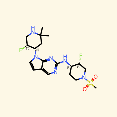 CC1(C)C[C@@H](n2ccc3cnc(N[C@@H]4CCN(S(C)(=O)=O)C[C@H]4F)nc32)[C@@H](F)CN1